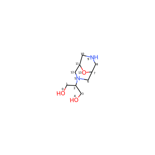 OCC(CO)N1CC2CNCC(C1)O2